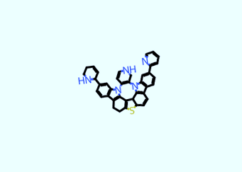 C1=CC(c2ccc3c4c5n(c3c2)C2=C(CNC=C2)n2c3c(c6ccc(-c7ccccn7)cc62)C=CC2SC(=C5C32)CC4)NCC1